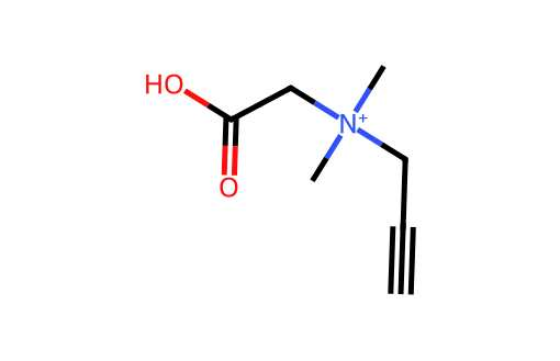 C#CC[N+](C)(C)CC(=O)O